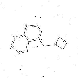 [CH]1CCN1Cc1ccnc2ncccc12